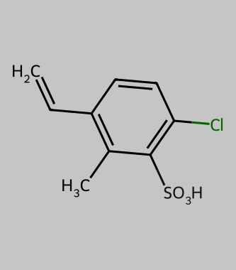 C=Cc1ccc(Cl)c(S(=O)(=O)O)c1C